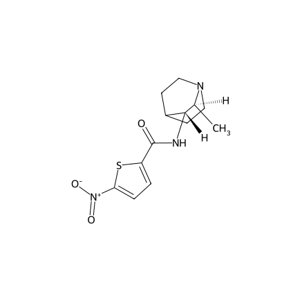 C[C@H]1[C@H](NC(=O)c2ccc([N+](=O)[O-])s2)C2CCN1CC2